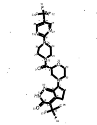 O=C(C1CN(C2CCc3c2n[nH]c(=O)c3C(F)(F)F)CCO1)N1CCN(c2ncc(C(F)(F)F)cn2)CC1